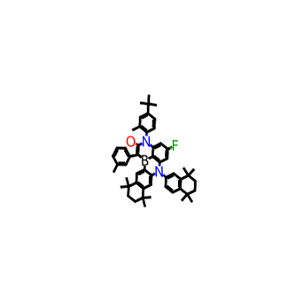 Cc1ccc2oc3c(c2c1)B1c2cc4c(cc2N(c2ccc5c(c2)C(C)(C)CCC5(C)C)c2cc(F)cc(c21)N3c1ccc(C(C)(C)C)cc1C)C(C)(C)CCC4(C)C